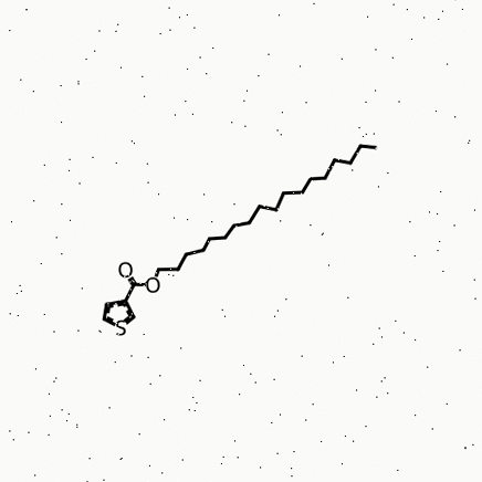 CCCCCCCCCCCCCCCCCCOC(=O)c1ccsc1